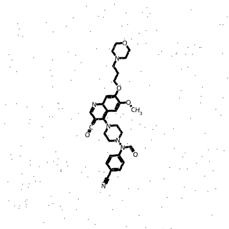 COC1=CC2=C(N3CCN(N(C=O)c4ccc(C#N)cc4)CC3)C(=C=O)C=NC2C=C1OCCCN1CCOCC1